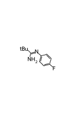 CC(C)(C)/C(N)=N/c1ccc(F)cc1